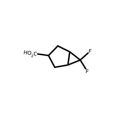 O=C(O)C1CC2C(C1)C2(F)F